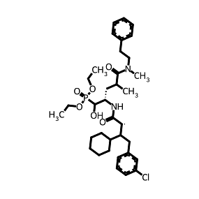 CCOP(=O)(OCC)C(O)[C@H](CC(C)C(=O)N(C)CCc1ccccc1)NC(=O)[CH]C(Cc1cccc(Cl)c1)C1CCCCC1